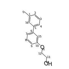 Cc1cccc(-c2cccc(OCCO)c2)c1